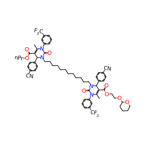 CCCOC(=O)C1=C(C)N(c2cccc(C(F)(F)F)c2)C(=O)N(CCCCCCCCCCCCN2C(=O)N(c3cccc(C(F)(F)F)c3)C(C)=C(C(=O)OCCOC3CCCCO3)C2c2ccc(C#N)cc2)C1c1ccc(C#N)cc1